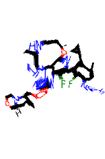 Cc1cc(N)c(F)c(-c2nc3c4c(nc(OCC5CC[C@H]6COCCN56)nc4c2F)NCC(C)NCC[C@H](C)O3)c1C1CC1